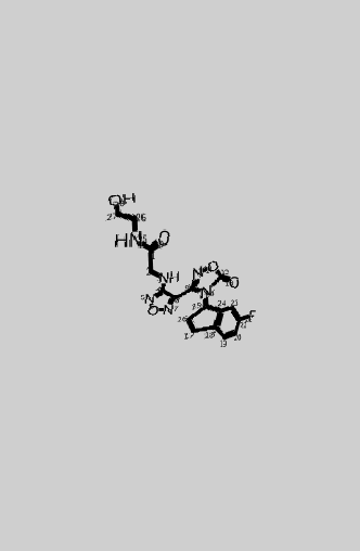 O=C(CNc1nonc1-c1noc(=O)n1C1CCc2ccc(F)cc21)NCCO